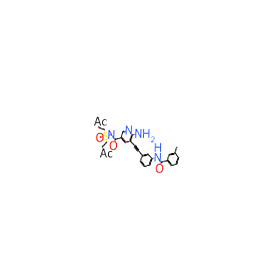 CC(=O)CCS(=O)(CCC(C)=O)=NC(=O)c1cnc(N)c(C#Cc2cccc(NC(=O)c3cccc(C)c3)c2)c1